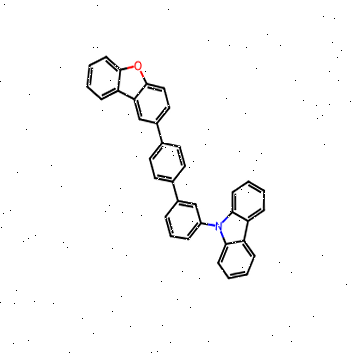 c1cc(-c2ccc(-c3ccc4oc5ccccc5c4c3)cc2)cc(-n2c3ccccc3c3ccccc32)c1